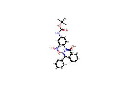 CC(C)(C)OC(=O)Nc1ccc(-n2nc(-c3ccccc3)c3ccccc3c2=O)c([N+](=O)[O-])c1